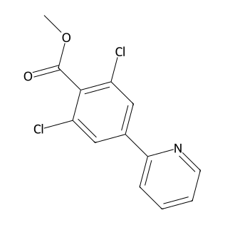 COC(=O)c1c(Cl)cc(-c2ccccn2)cc1Cl